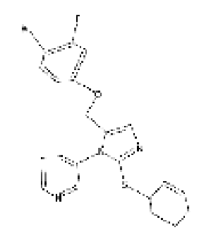 Fc1cc(OCc2cnc(SC3C=CCCC3)n2-c2cccnc2)ccc1Br